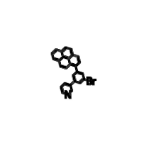 Brc1cc(-c2cccnc2)cc(-c2ccc3ccc4cccc5ccc2c3c45)c1